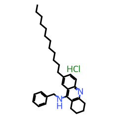 CCCCCCCCCCCCc1ccc2nc3c(c(NCc4ccccc4)c2c1)CCCC3.Cl